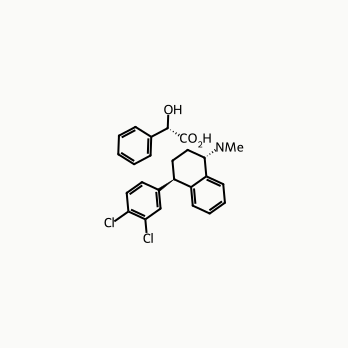 CN[C@H]1CC[C@H](c2ccc(Cl)c(Cl)c2)c2ccccc21.O=C(O)[C@@H](O)c1ccccc1